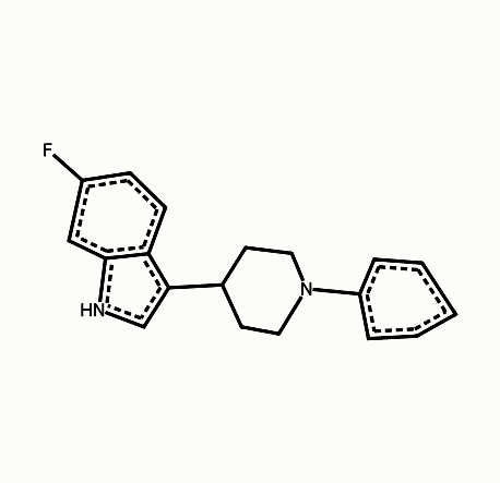 Fc1ccc2c(C3CCN(c4ccccc4)CC3)c[nH]c2c1